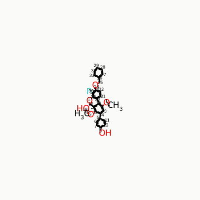 COc1cc(-c2ccc(O)cc2)c(OC)c(C(=O)O)c1-c1ccc(OCc2ccccc2)c(F)c1